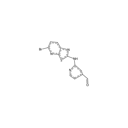 O=Cc1ccnc(Nc2nc3ccc(Br)nc3s2)c1